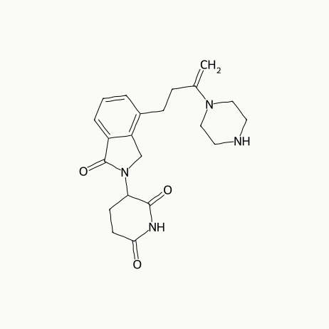 C=C(CCc1cccc2c1CN(C1CCC(=O)NC1=O)C2=O)N1CCNCC1